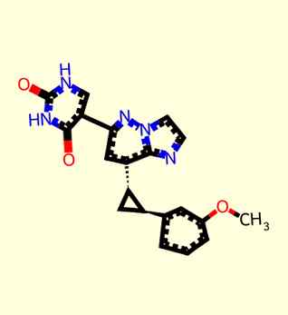 COc1cccc([C@H]2C[C@@H]2c2cc(-c3c[nH]c(=O)[nH]c3=O)nn3ccnc23)c1